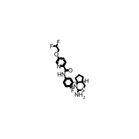 NC1N[C@@]2(c3cc(NC(=O)c4ccc(OCC(F)F)cn4)ccc3F)CCC[C@H]2CS1